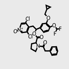 O=C(OC(Cc1c(Cl)c[n+]([O-])cc1Cl)c1ccc(OC(F)F)c(OCC2CC2)c1)C1CCCN1C(=O)Cc1ccccc1